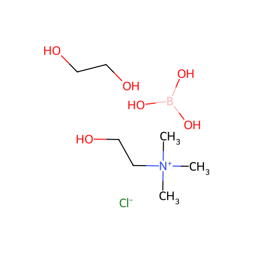 C[N+](C)(C)CCO.OB(O)O.OCCO.[Cl-]